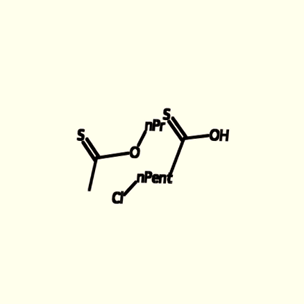 CC(O)=S.CCCCCCl.CCCOC(C)=S